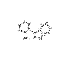 Nc1ccccc1-c1csc2ccccc12